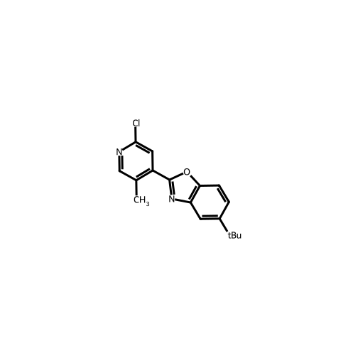 Cc1cnc(Cl)cc1-c1nc2cc(C(C)(C)C)ccc2o1